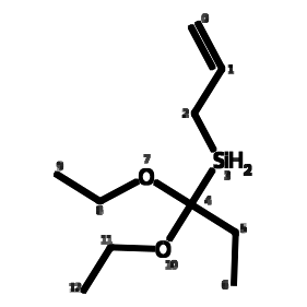 C=CC[SiH2]C(CC)(OCC)OCC